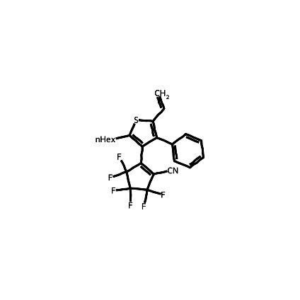 C=Cc1sc(CCCCCC)c(C2=C(C#N)C(F)(F)C(F)(F)C2(F)F)c1-c1ccccc1